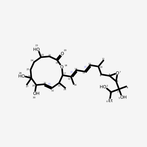 CCC(O)C(C)(O)C1OC1CC(C)/C=C/C=C(\C)C1OC(=O)CC(O)CCC(C)(O)C(O)/C=C/C1C